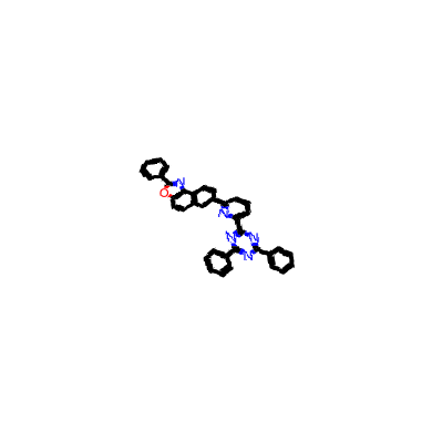 c1ccc(-c2nc(-c3ccccc3)nc(-c3cccc(-c4ccc5c(ccc6oc(-c7ccccc7)nc65)c4)n3)n2)cc1